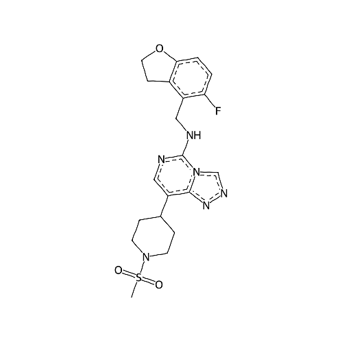 CS(=O)(=O)N1CCC(c2cnc(NCc3c(F)ccc4c3CCO4)n3cnnc23)CC1